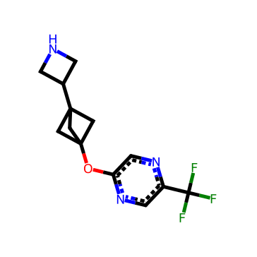 FC(F)(F)c1cnc(OC23CC(C4CNC4)(C2)C3)cn1